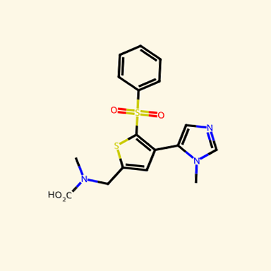 CN(Cc1cc(-c2cncn2C)c(S(=O)(=O)c2ccccc2)s1)C(=O)O